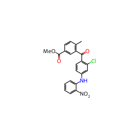 COC(=O)c1ccc(C)c(C(=O)c2ccc(Nc3ccccc3[N+](=O)[O-])cc2Cl)c1